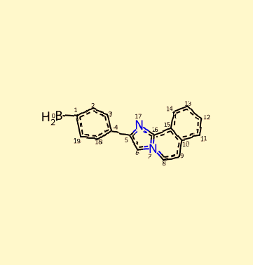 Bc1ccc(-c2cn3ccc4ccccc4c3n2)cc1